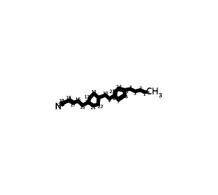 CCCCCc1ccc(CCC2CCC(CCC=CC#N)CC2)cc1